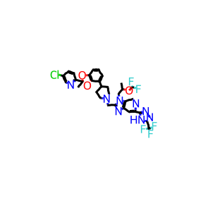 CC(Cn1c(CN2CCC(c3cccc4c3OC(C)(c3ccc(Cl)cn3)O4)CC2)nc2cc(-c3nnc(C(F)(F)F)[nH]3)ncc21)OC(F)F